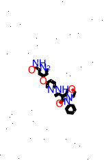 C=C(Nc1ccc(Oc2ccnc(C(N)=O)c2)cn1)c1c2n(n(-c3ccccc3)c1=O)CCOC2